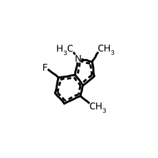 Cc1ccc(F)c2c1cc(C)n2C